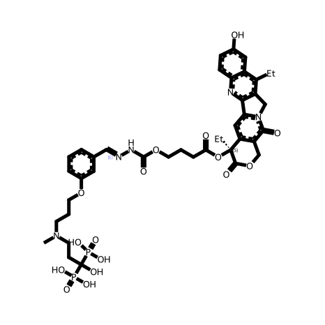 CCc1c2c(nc3ccc(O)cc13)-c1cc3c(c(=O)n1C2)COC(=O)[C@@]3(CC)OC(=O)CCCOC(=O)N/N=C/c1cccc(OCCCN(C)CCC(O)(P(=O)(O)O)P(=O)(O)O)c1